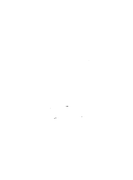 C[C@@H](O)[C@H]1C(=O)N2C(C(=O)[O-])C(Sc3ccc(C[N+]4(C)CCCC4)cc3)S[C@H]12